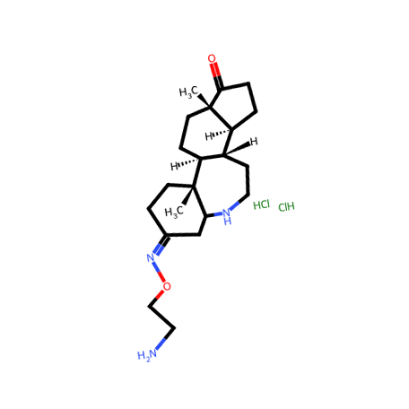 C[C@]12CC/C(=N/OCCN)CC1NCC[C@@H]1[C@@H]2CC[C@]2(C)C(=O)CC[C@@H]12.Cl.Cl